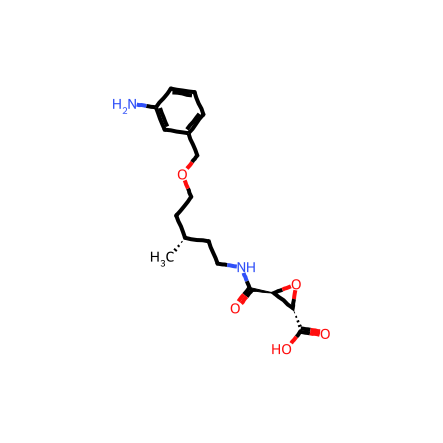 C[C@@H](CCNC(=O)[C@H]1O[C@@H]1C(=O)O)CCOCc1cccc(N)c1